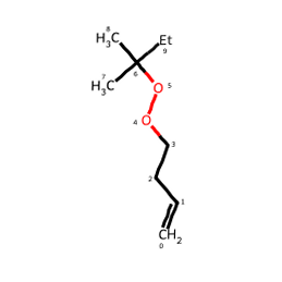 C=CCCOOC(C)(C)CC